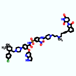 CN(CCC#Cc1cccc2c1CN(C1CCC(=O)NC1=O)C2=O)CCCN1CCC(CNc2ccc(S(=O)(=O)NC(=O)c3ccc(N4CCN(CC5=C(c6ccc(Cl)cc6)CC(C)(C)CC5)CC4)cc3Oc3cnc4[nH]ccc4c3)cc2[N+](=O)[O-])CC1